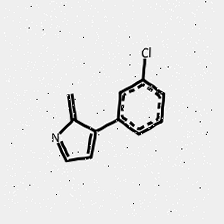 C=C1N=CC=C1c1cccc(Cl)c1